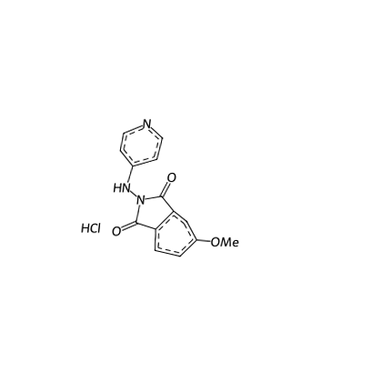 COc1ccc2c(c1)C(=O)N(Nc1ccncc1)C2=O.Cl